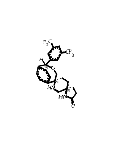 O=C1CC[C@]2(CC[C@]3(CO[C@@H](c4cc(C(F)(F)F)cc(C(F)(F)F)c4)c4ccc3cc4)NC2)N1